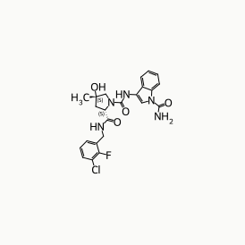 C[C@]1(O)C[C@@H](C(=O)NCc2cccc(Cl)c2F)N(C(=O)Nc2cn(C(N)=O)c3ccccc23)C1